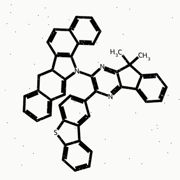 CC1(C)c2ccccc2-c2nc(-c3ccc4sc5ccccc5c4c3)c(N3C4=Cc5ccccc5CC4c4ccc5ccccc5c43)nc21